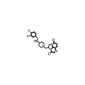 O=c1ccc2ncc(=O)n3c2n1CC3CN1CCC(NCc2ccc(F)c(F)c2)CC1